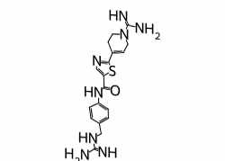 N=C(N)NCc1ccc(NC(=O)c2cnc(C3=CCN(C(=N)N)CC3)s2)cc1